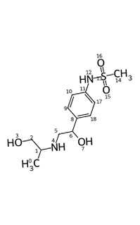 CC(CO)NCC(O)c1ccc(NS(C)(=O)=O)cc1